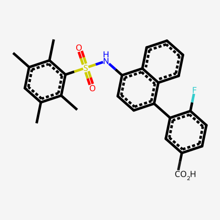 Cc1cc(C)c(C)c(S(=O)(=O)Nc2ccc(-c3cc(C(=O)O)ccc3F)c3ccccc23)c1C